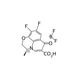 C[C@H]1COc2c(F)c(F)cc3c(=O)c(C(=O)O)cn1c23.F[B]F